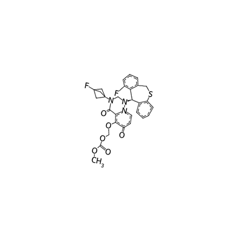 COC(=O)OCOc1c2n(ccc1=O)N([C@@H]1c3ccccc3SCc3cccc(F)c31)CN(C13CC(F)(C1)C3)C2=O